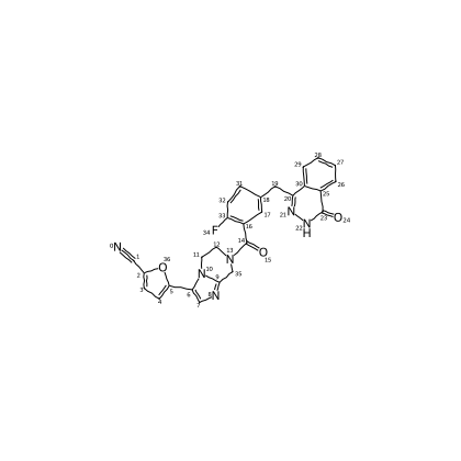 N#Cc1ccc(-c2cnc3n2CCN(C(=O)c2cc(Cc4n[nH]c(=O)c5ccccc45)ccc2F)C3)o1